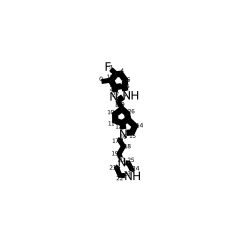 Cc1c(F)ccc2[nH]c(-c3ccc4c(ccn4CCCN4CCNCC4)c3)nc12